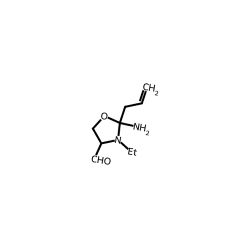 C=CCC1(N)OCC(C=O)N1CC